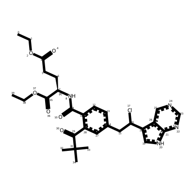 CCOC(=O)CC[C@@H](NC(=O)c1ccc(CC(Cl)c2c[nH]c3ncncc23)cc1C(=O)C(C)(C)C)C(=O)OCC